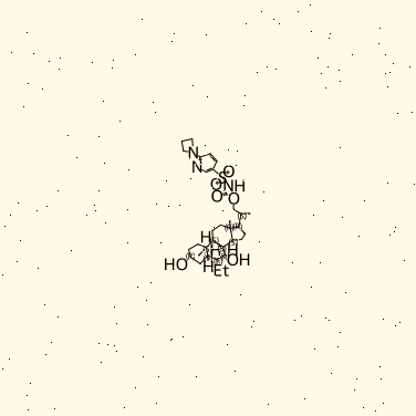 CC[C@H]1[C@@H](O)[C@@H]2[C@H](CC[C@]3(C)[C@@H]([C@H](C)COC(=O)NS(=O)(=O)c4ccc(N5CCC5)nc4)CC[C@@H]23)[C@@]2(C)CC[C@@H](O)C[C@@H]12